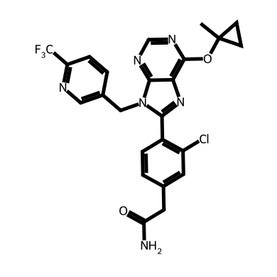 CC1(Oc2ncnc3c2nc(-c2ccc(CC(N)=O)cc2Cl)n3Cc2ccc(C(F)(F)F)nc2)CC1